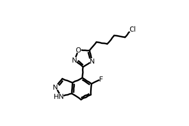 Fc1ccc2[nH]ncc2c1-c1noc(CCCCCl)n1